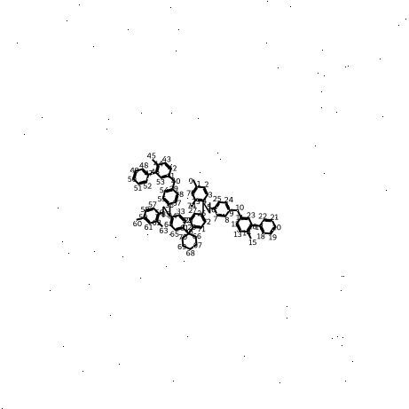 Cc1ccc(N(c2ccc(Cc3ccc(C)c(-c4ccccc4)c3)cc2)c2ccc(C3(c4ccc(N(c5ccc(Cc6ccc(C)c(-c7ccccc7)c6)cc5)c5ccc(C)cc5C)cc4)CCCCC3)cc2)c(C)c1